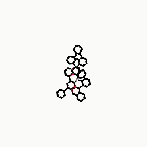 c1ccc(-c2ccc(N(c3ccccc3)c3ccccc3-c3cccc4ccccc34)c(-c3cccc4c3-c3ccccc3C4(c3ccccc3)c3cccc4c3sc3ccccc34)c2)cc1